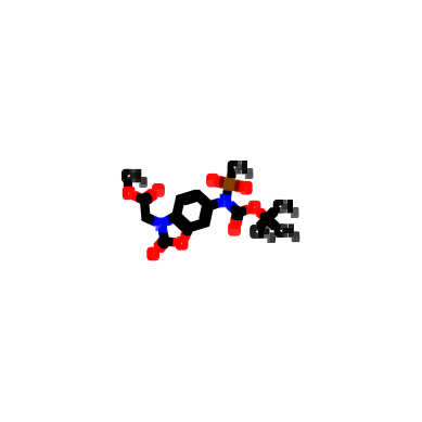 COC(=O)Cn1c(=O)oc2cc(N(C(=O)OC(C)(C)C)S(C)(=O)=O)ccc21